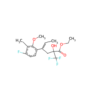 CC=C(CC(O)(C(=O)OCC)C(F)(F)F)c1ccc(F)c(C)c1OC